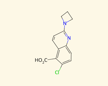 O=C(O)c1c(Cl)ccc2nc(N3CCC3)ccc12